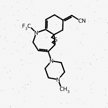 CN1CCN(C2=CCN(C(F)(F)F)C3=CC/C(=C/C#N)CC34CSC=C24)CC1